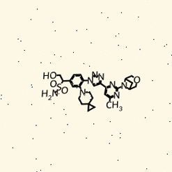 Cc1cc(-c2cn(-c3ccc(C(CO)S(N)(=O)=O)cc3N3CCC4(CC3)CC4)nn2)nc(N2C3COCC2C3)n1